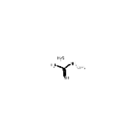 N=C(N)N.O.[CaH2]